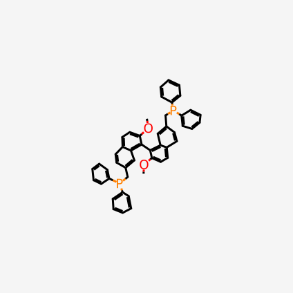 COc1ccc2ccc(CP(c3ccccc3)c3ccccc3)cc2c1-c1c(OC)ccc2ccc(CP(c3ccccc3)c3ccccc3)cc12